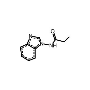 CCC(=O)Nn1cnc2ccccc21